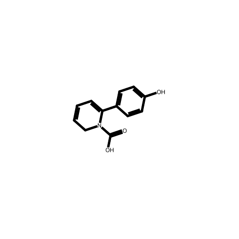 O=C(O)N1CC=CC=C1c1ccc(O)cc1